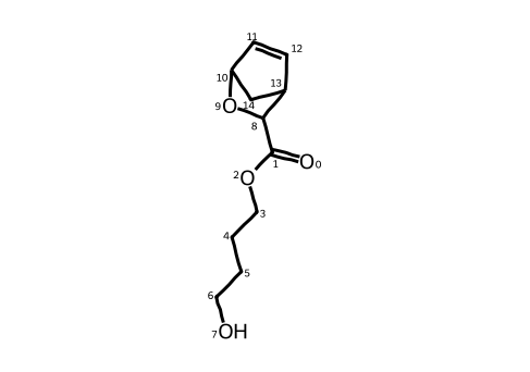 O=C(OCCCCO)C1OC2C=CC1C2